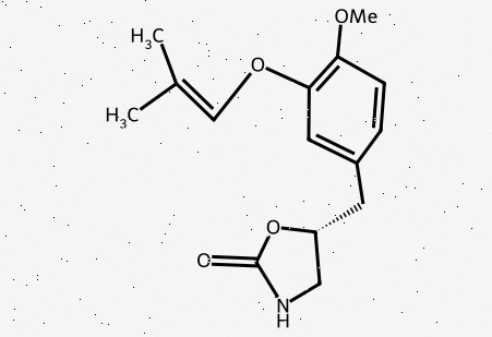 COc1ccc(C[C@@H]2CNC(=O)O2)cc1OC=C(C)C